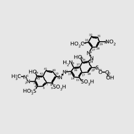 CN=Nc1c(S(=O)(=O)O)cc2c(S(=O)(=O)O)c(N=Nc3cc(S(=O)(=O)O)c4cc(SOOO)c(N=Nc5cc([N+](=O)[O-])ccc5C(=O)O)c(O)c4c3N)ccc2c1O